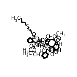 CCCCCSSCCOC(=O)O[C@@H](C(=O)O[C@H]1C[C@@]2(O)[C@@H](OC(=O)c3ccccc3)[C@@H]3[C@]4(OC(C)=O)CO[C@@H]4C[C@@H]4C[C@@]43C(=O)[C@H](OC(C)=O)C(=C1C)C2(C)C)[C@@H](NC(=O)OC(C)(C)C)c1ccccc1